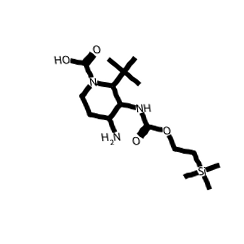 CC(C)(C)C1C(NC(=O)OCC[Si](C)(C)C)C(N)CCN1C(=O)O